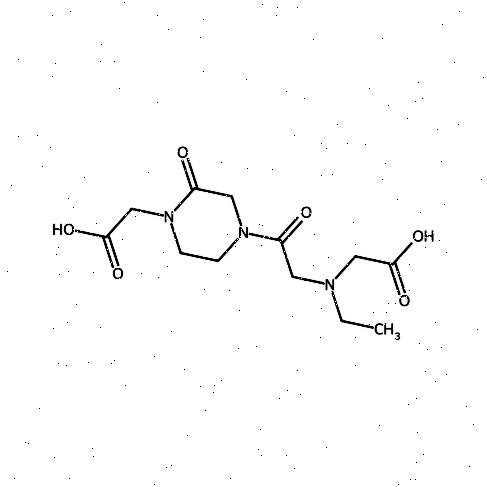 CCN(CC(=O)O)CC(=O)N1CCN(CC(=O)O)C(=O)C1